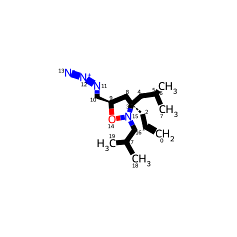 C=CC[C@@]1(CC(C)C)C[C@H](CN=[N+]=[N-])ON1CC(C)C